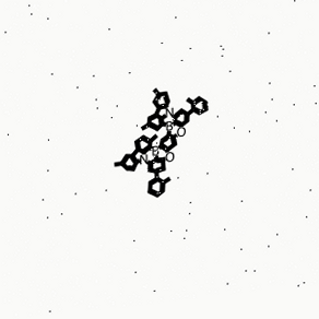 Cc1ccc2c(c1)c1cc(C)cc3c1n2-c1cc(-c2ccccc2C)cc2c1B3c1cc3c(cc1O2)Oc1cc(-c2ccccc2C)cc2c1B3c1c(C)ccc3c4cc(C)ccc4n-2c13